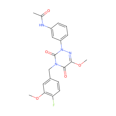 COc1cc(Cn2c(=O)c(OC)nn(-c3cccc(NC(C)=O)c3)c2=O)ccc1F